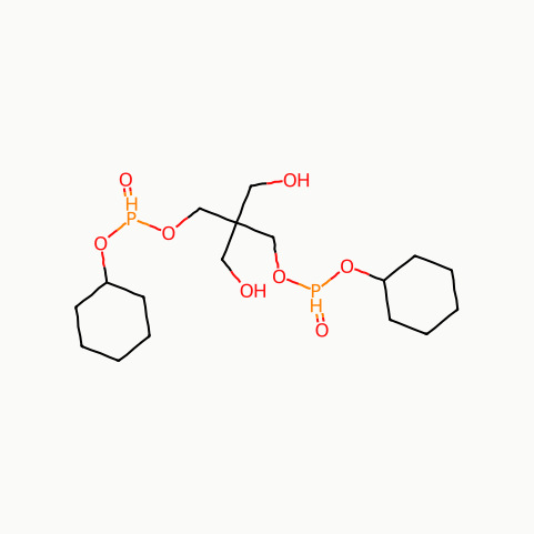 O=[PH](OCC(CO)(CO)CO[PH](=O)OC1CCCCC1)OC1CCCCC1